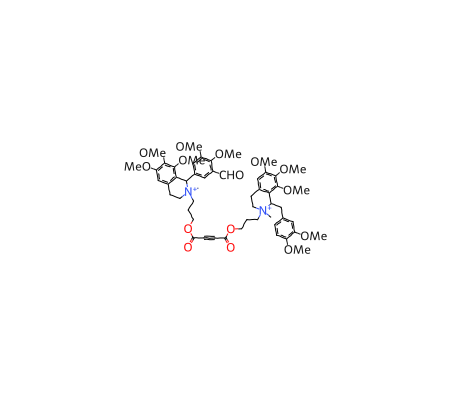 COc1ccc(CC2c3c(cc(OC)c(OC)c3OC)CC[N+]2(C)CCCOC(=O)C#CC(=O)OCCC[N+]2(C)CCc3cc(OC)c(OC)c(OC)c3C2c2cc(C=O)c(OC)c(OC)c2)cc1OC